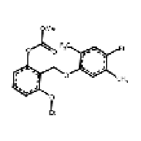 CCOc1cccc(OC(=O)OC)c1COc1cc(C)c(CC)cc1C(F)(F)F